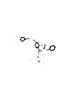 Cc1ccc(C(=O)OCc2ccc(C(CNC(=O)OC(C)(C)C)C(=O)N3C(=O)OC[C@H]3Cc3ccccc3)cc2)c(C)c1